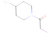 N#CC1CCN(C(=O)CI)CC1